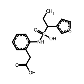 CCC(c1ccsc1)P(=O)(O)Nc1ccccc1CC(=O)O